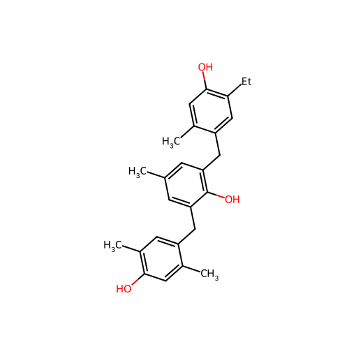 CCc1cc(Cc2cc(C)cc(Cc3cc(C)c(O)cc3C)c2O)c(C)cc1O